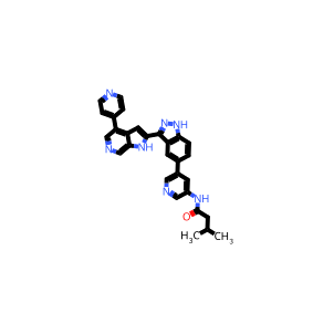 CC(C)CC(=O)Nc1cncc(-c2ccc3[nH]nc(-c4cc5c(-c6ccncc6)cncc5[nH]4)c3c2)c1